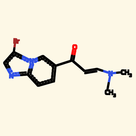 CN(C)C=CC(=O)c1ccc2ncc(Br)n2c1